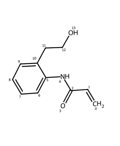 C=CC(=O)Nc1ccccc1CCO